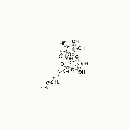 CCO[SiH2]CCCNC(=O)C(O)C(O)C(OC1OC(CO)C(O)C(O)C1O)C(O)CO